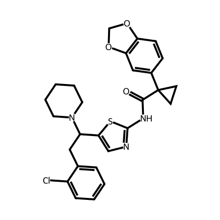 O=C(Nc1ncc(C(Cc2ccccc2Cl)N2CCCCC2)s1)C1(c2ccc3c(c2)OCO3)CC1